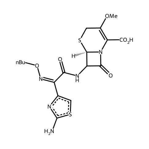 CCCCO/N=C(\C(=O)NC1C(=O)N2C(C(=O)O)=C(OC)CS[C@H]12)c1csc(N)n1